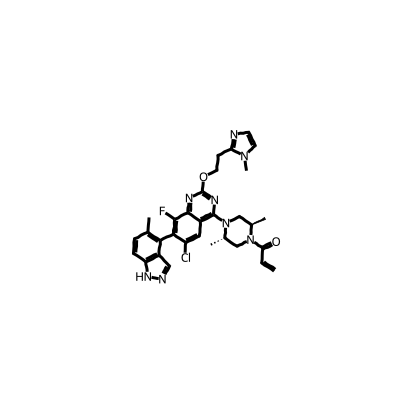 C=CC(=O)N1C[C@H](C)N(c2nc(OCCc3nccn3C)nc3c(F)c(-c4c(C)ccc5[nH]ncc45)c(Cl)cc23)C[C@H]1C